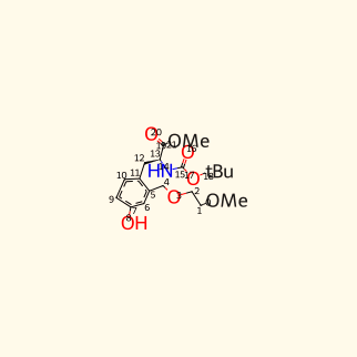 COCCOCc1cc(O)ccc1C[C@H](NC(=O)OC(C)(C)C)C(=O)OC